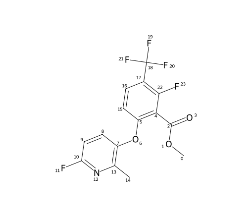 COC(=O)c1c(Oc2ccc(F)nc2C)ccc(C(F)(F)F)c1F